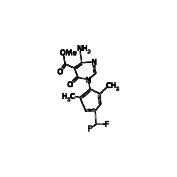 COC(=O)c1c(N)ncn(-c2c(C)cc(C(F)F)cc2C)c1=O